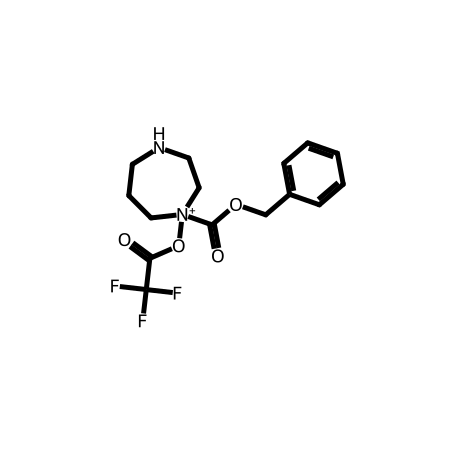 O=C(O[N+]1(C(=O)OCc2ccccc2)CCCNCC1)C(F)(F)F